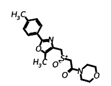 Cc1ccc(-c2nc(C[S+]([O-])CC(=O)N3CCOCC3)c(C)o2)cc1